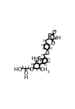 Cc1cc(OC[C@@H](O)CO)cc(C)c1-c1cccc(COc2ccc(Cn3oc(=O)[nH]c3=O)cc2)c1C